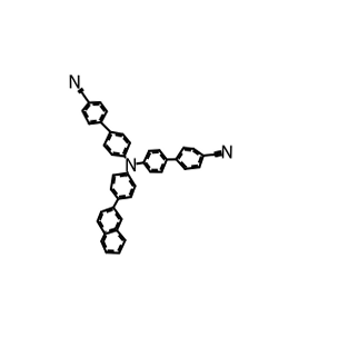 N#Cc1ccc(-c2ccc(N(c3ccc(-c4ccc(C#N)cc4)cc3)c3ccc(-c4ccc5ccccc5c4)cc3)cc2)cc1